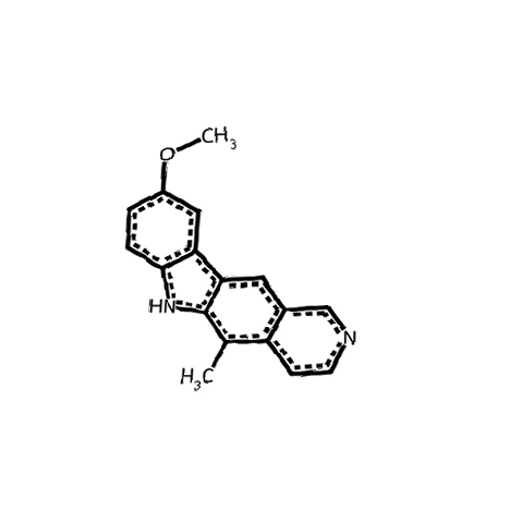 COc1ccc2[nH]c3c(C)c4ccncc4cc3c2c1